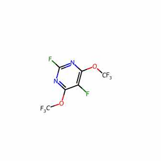 Fc1nc(OC(F)(F)F)c(F)c(OC(F)(F)F)n1